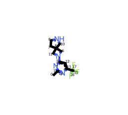 Cc1nc(N2CC3(CCNC3)C2)cc(C(F)(F)F)n1